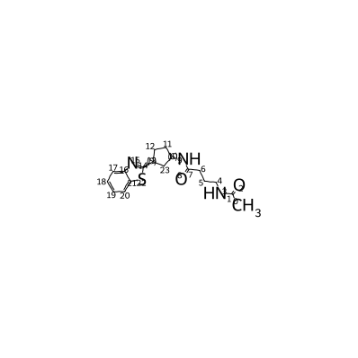 CC(=O)NCCCC(=O)N[C@H]1CC[C@H](c2nc3ccccc3s2)C1